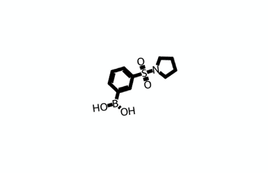 O=S(=O)(c1cccc(B(O)O)c1)N1CCCC1